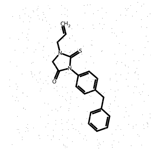 C=CCN1CC(=O)N(c2ccc(Cc3ccccc3)cc2)C1=S